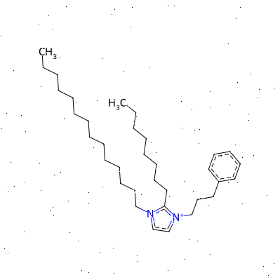 CCCCCCCCCCCCCCn1cc[n+](CCCc2ccccc2)c1CCCCCCCC